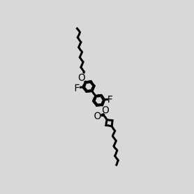 CCCCCCCCCCOc1ccc(-c2ccc(OC(=O)C3CC(CCCCCCCC)C3)c(F)c2)cc1F